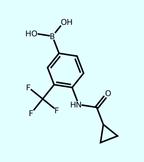 O=C(Nc1ccc(B(O)O)cc1C(F)(F)F)C1CC1